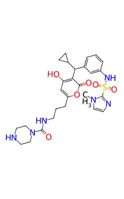 Cn1ccnc1S(=O)(=O)Nc1cccc(C(c2c(O)cc(CCCNC(=O)N3CCNCC3)oc2=O)C2CC2)c1